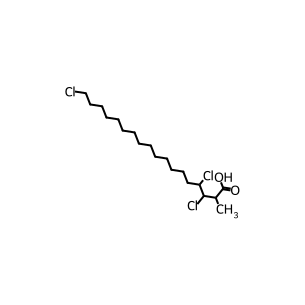 CC(C(=O)O)C(Cl)C(Cl)CCCCCCCCCCCCCCCl